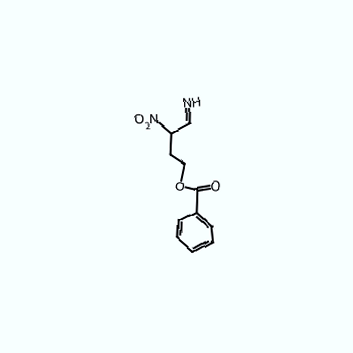 N=CC(CCOC(=O)c1ccccc1)[N+](=O)[O-]